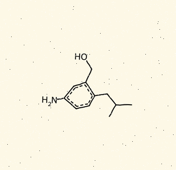 CC(C)Cc1ccc(N)cc1CO